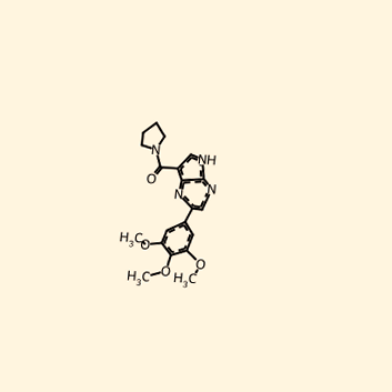 COc1cc(-c2cnc3[nH]cc(C(=O)N4CCCC4)c3n2)cc(OC)c1OC